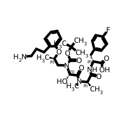 C[C@H](CN(C(=O)OC(C)(C)C)[C@@H](O)C(=O)N(C)[C@H](C)C(=O)N[C@H](Cc1ccc(F)cc1)C(=O)O)Oc1ccccc1CCCN